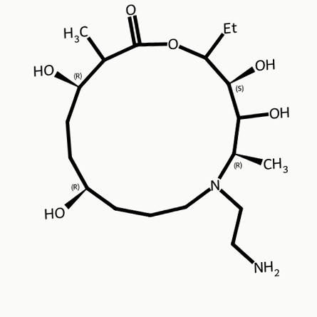 CCC1OC(=O)C(C)[C@H](O)CC[C@H](O)CCCN(CCN)[C@H](C)C(O)[C@@H]1O